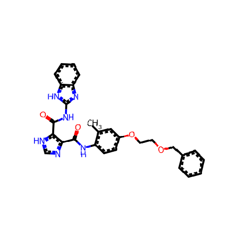 Cc1cc(OCCOCc2ccccc2)ccc1NC(=O)c1nc[nH]c1C(=O)Nc1nc2ccccc2[nH]1